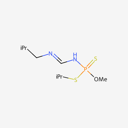 COP(=S)(NC=NCC(C)C)SC(C)C